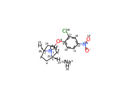 CN1[C@@H]2CC[C@H]1CC(Oc1ccc([N+](=O)[O-])cc1Cl)C2.[H-].[Na+]